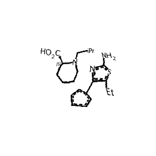 CC(C)CN1CCCC[C@H]1C(=O)O.CCc1sc(N)nc1-c1ccccc1